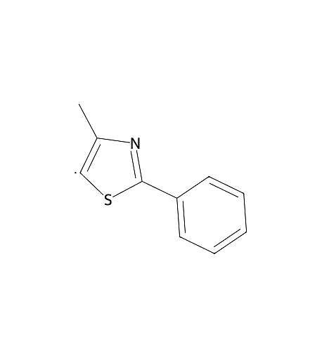 Cc1[c]sc(-c2ccccc2)n1